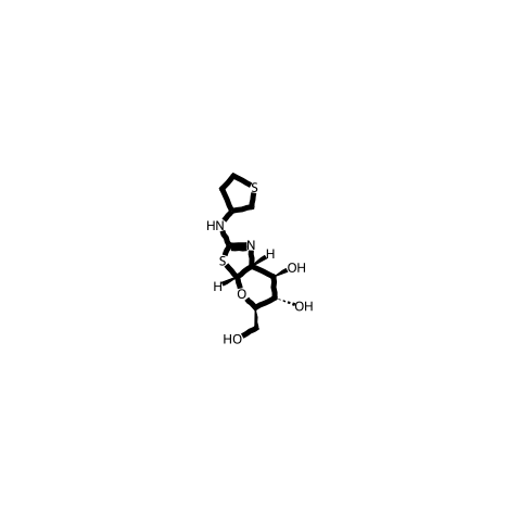 OC[C@H]1O[C@@H]2SC(NC3CCSC3)=N[C@@H]2[C@@H](O)[C@@H]1O